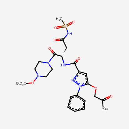 CCOC(=O)ON1CCN(C(=O)[C@H](CC(=O)NS(C)(=O)=O)NC(=O)c2cc(OCC(=O)C(C)(C)C)n(-c3ccccc3)n2)CC1